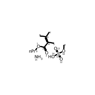 CCCOC(=O)C(C)=C(C)C.COS(=O)(=O)O.N